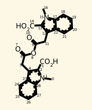 Cn1c(C(=O)O)c(CC(=O)OC(=O)Cc2c(C(=O)O)n(C)c3ccccc23)c2ccccc21